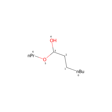 CCCCCCC(O)OCCC